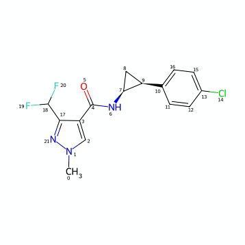 Cn1cc(C(=O)N[C@H]2C[C@H]2c2ccc(Cl)cc2)c(C(F)F)n1